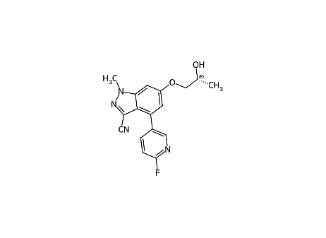 C[C@@H](O)COc1cc(-c2ccc(F)nc2)c2c(C#N)nn(C)c2c1